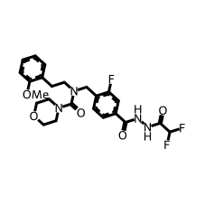 COc1ccccc1CCN(Cc1ccc(C(=O)NNC(=O)C(F)F)cc1F)C(=O)N1CCOCC1